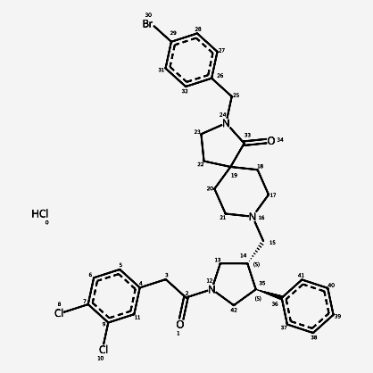 Cl.O=C(Cc1ccc(Cl)c(Cl)c1)N1C[C@H](CN2CCC3(CC2)CCN(Cc2ccc(Br)cc2)C3=O)[C@@H](c2ccccc2)C1